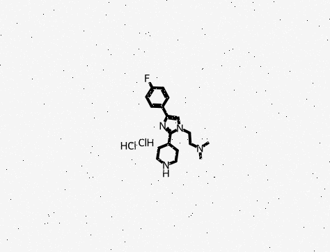 CN(C)CCn1cc(-c2ccc(F)cc2)nc1C1CCNCC1.Cl.Cl